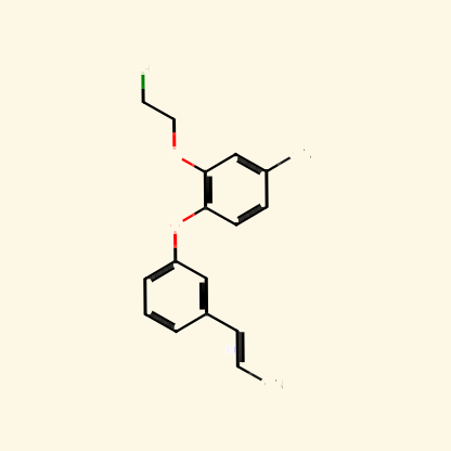 N#C/C=C/c1cccc(Oc2ccc(C#N)cc2OCCBr)c1